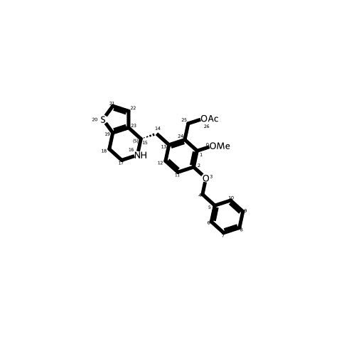 COc1c(OCc2ccccc2)ccc(C[C@@H]2NCCc3sccc32)c1COC(C)=O